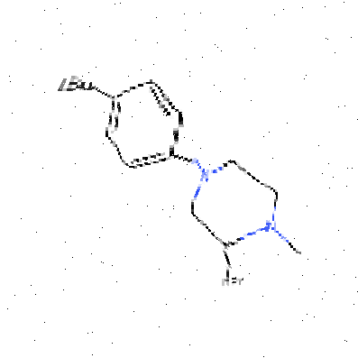 CCCC1CN(c2ccc(C(C)(C)C)cc2)CCN1C